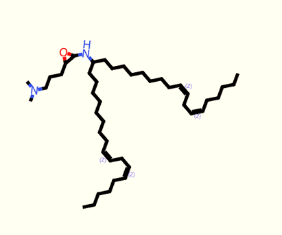 CCCCC/C=C\C/C=C\CCCCCCCCC(CCCCCCCC/C=C\C/C=C\CCCCC)NC1OC1CCCN(C)C